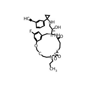 C#Cc1cccc(C2(NC[C@@H](O)[C@@H]3Cc4cc(F)cc(c4)OCCCCN(CCC)S(=O)(=O)CCCC(=O)N3)CC2)c1